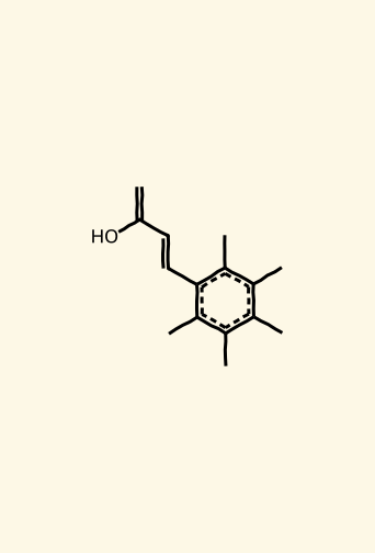 C=C(O)/C=C/c1c(C)c(C)c(C)c(C)c1C